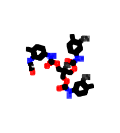 CCC(COC(=O)Nc1ccc(C)c(C#N)c1)(COC(=O)Nc1ccc(C)c(C#N)c1)COC(=O)Nc1ccc(C)c(N=C=O)c1